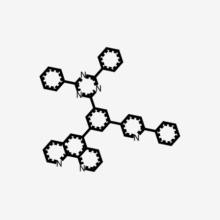 c1ccc(-c2ccc(-c3cc(-c4nc(-c5ccccc5)nc(-c5ccccc5)n4)cc(-c4cc5cccnc5c5ncccc45)c3)cn2)cc1